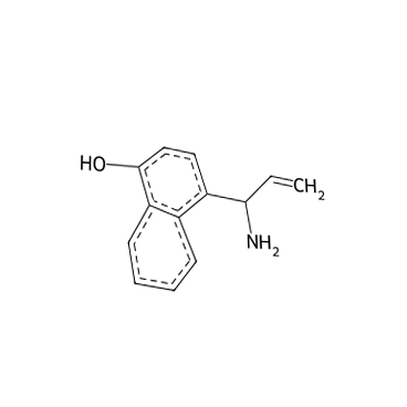 C=CC(N)c1ccc(O)c2ccccc12